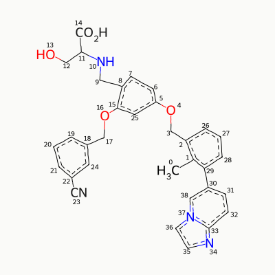 Cc1c(COc2ccc(CNC(CO)C(=O)O)c(OCc3cccc(C#N)c3)c2)cccc1-c1ccc2nccn2c1